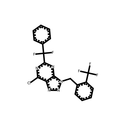 FC(F)(F)c1ccccc1Cn1nnc2c(Cl)nc(C(F)(F)c3ccccc3)nc21